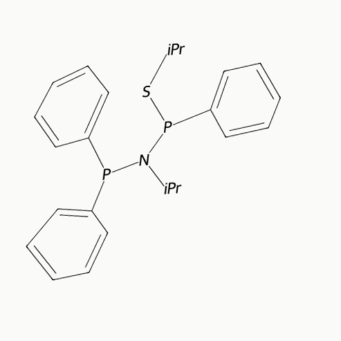 CC(C)SP(c1ccccc1)N(C(C)C)P(c1ccccc1)c1ccccc1